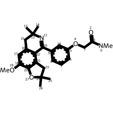 CNC(=O)COc1cccc(C2=NC(C)(C)Cc3cc(OC)c4c(c32)CC(C)(C)O4)c1